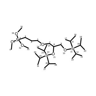 CO[Si](CCCOCC(CO[Si](C(C)C)(C(C)C)C(C)C)O[Si](C(C)C)(C(C)C)C(C)C)(OC)OC